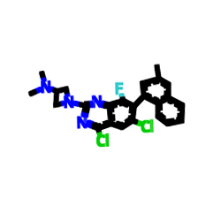 Cc1cc(-c2c(Cl)cc3c(Cl)nc(N4CC(N(C)C)C4)nc3c2F)c2ccccc2c1